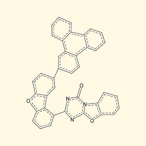 O=c1nc(-c2cccc3oc4ccc(-c5ccc6c7ccccc7c7ccccc7c6c5)cc4c23)nc2oc3ccccc3n12